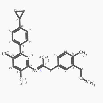 COCc1cc(C/C(C)=N/c2nc(-c3ccc(C4CC4)cc3)c(Cl)cc2C)ccc1C